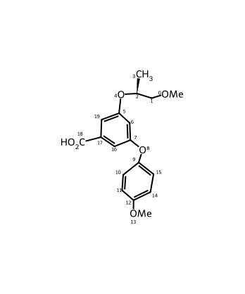 COC[C@H](C)Oc1cc(Oc2ccc(OC)cc2)cc(C(=O)O)c1